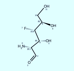 N[C@@H](C=O)[C@@H](O)[C@H](F)[C@H](O)CO